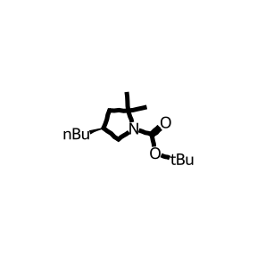 CCCC[C@@H]1CN(C(=O)OC(C)(C)C)C(C)(C)C1